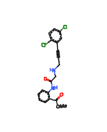 COC(=O)c1ccccc1NC(=O)CNCC#Cc1cc(Cl)ccc1Cl